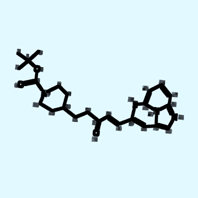 CC(C)(C)OC(=O)N1CCC(CCC(=O)C=CC2=Cc3cnc4cccc(n34)S2)CC1